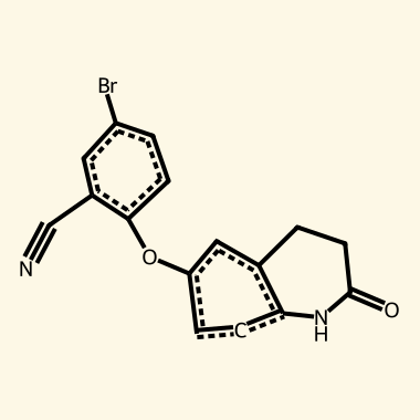 N#Cc1cc(Br)ccc1Oc1ccc2c(c1)CCC(=O)N2